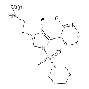 O=C(O)NCCc1cn(S(=O)(=O)C2CCCCC2)c(-c2cccnc2F)c1F